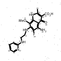 COc1c(NCCNc2ccccn2)c(F)c(N)c2c(=O)c(C(=O)O)c(C)[nH]c12